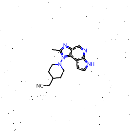 Cc1nc2cnc3[nH]ccc3c2n1N1CCC(CC#N)CC1